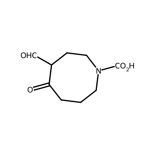 O=CC1CCN(C(=O)O)CCCC1=O